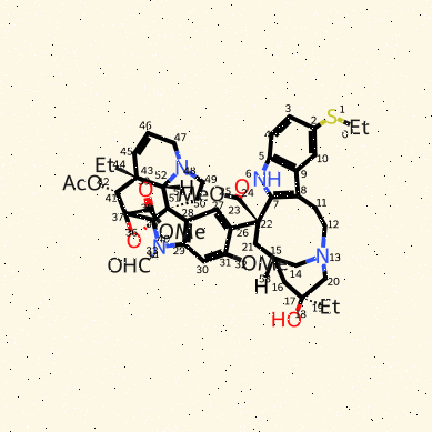 CCSc1ccc2[nH]c3c(c2c1)CCN1C[C@H](C[C@@](O)(CC)C1)C[C@]3(C(=O)OC)c1cc2c(cc1OC)N(C=O)[C@@]13O[C@]1(C(=O)OC)[C@H](OC(C)=O)[C@]1(CC)C=CCN4CC[C@]23[C@@H]41